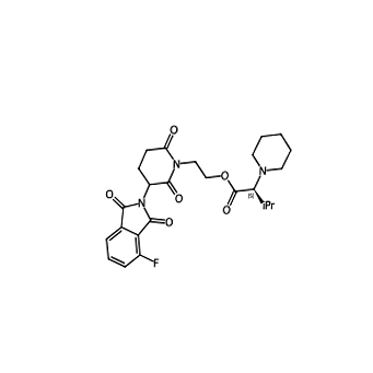 CC(C)[C@@H](C(=O)OCCN1C(=O)CCC(N2C(=O)c3cccc(F)c3C2=O)C1=O)N1CCCCC1